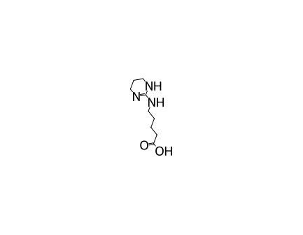 O=C(O)CCCCNC1=NCCCN1